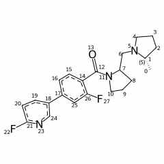 C[C@H]1CCCN1CC1CCCN1C(=O)c1ccc(-c2ccc(F)nc2)cc1F